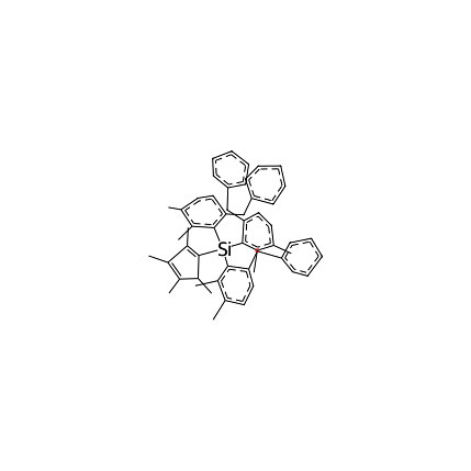 CC1=C(C)C(C)C([Si](c2c(Cc3ccccc3)ccc(C)c2C)(c2c(Cc3ccccc3)ccc(C)c2C)c2c(Cc3ccccc3)ccc(C)c2C)=C1C